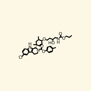 CCCOC(=O)NCC(O)CCOC1C=CC(C)([C@H]2c3[nH]c4ccc(Cl)cc4c3CCN2C(=O)Oc2ccc(C)cc2)CC1C